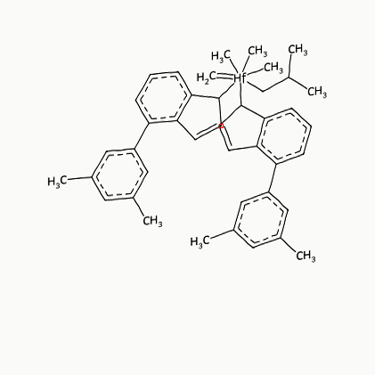 [CH2]=[Hf]([CH3])([CH3])([CH3])([CH2]C(C)C)([CH]1C=Cc2c(-c3cc(C)cc(C)c3)cccc21)[CH]1C=Cc2c(-c3cc(C)cc(C)c3)cccc21